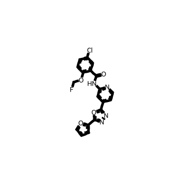 O=C(Nc1cc(-c2nnc(-c3ccco3)o2)ccn1)c1cc(Cl)ccc1OCF